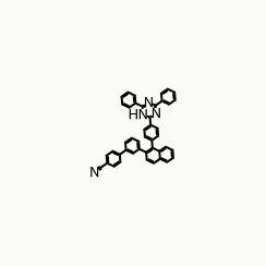 N#Cc1ccc(-c2cccc(-c3ccc4ccccc4c3-c3ccc(C4N=C(c5ccccc5)N=C(c5ccccc5)N4)cc3)c2)cc1